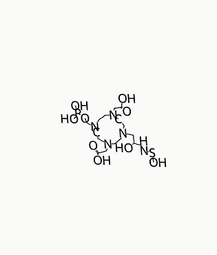 O=C(O)CN1CCN(COP(O)O)CCN(CC(=O)O)CCN(CC(O)CNSO)CC1